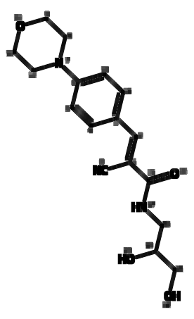 N#C/C(=C\c1ccc(N2CCOCC2)cc1)C(=O)NCC(O)CO